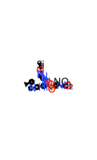 C[Si](C)(C)CCOCn1ccc2cc3c(cnn3-c3cc(C4=CCC(N5CCCC5c5ccccc5C5CC5)CC4)ccc3C(=O)NS(=O)(=O)c3ccc(NCC4CCOCC4)c([N+](=O)[O-])c3)nc21